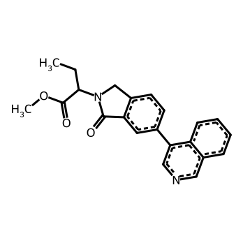 CCC(C(=O)OC)N1Cc2ccc(-c3cncc4ccccc34)cc2C1=O